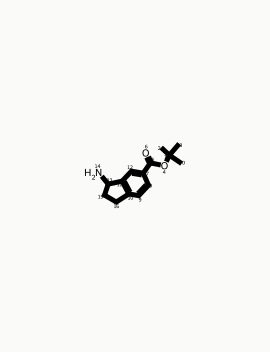 CC(C)(C)OC(=O)c1ccc2c(c1)C(N)CC2